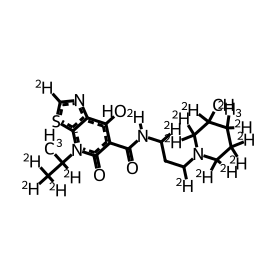 [2H]c1nc2c(O)c(C(=O)N([2H])C([2H])CC([2H])N3C([2H])([2H])C([2H])([2H])C([2H])([2H])C([2H])(C)C3([2H])[2H])c(=O)n(C([2H])(C)C([2H])([2H])[2H])c2s1